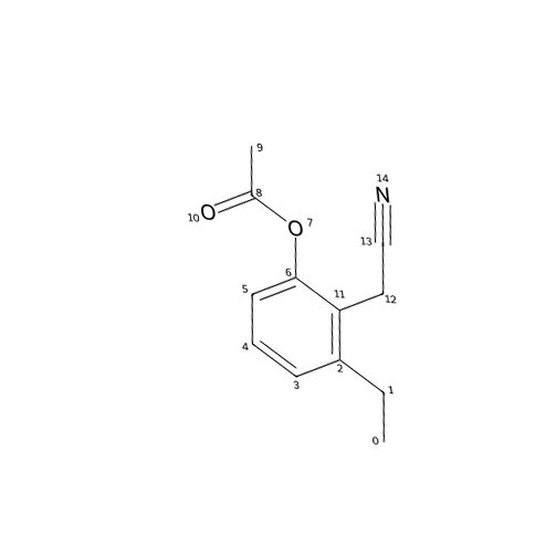 CCc1cccc(OC(C)=O)c1CC#N